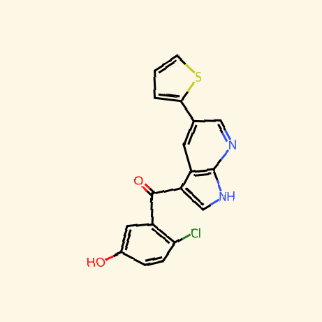 O=C(c1cc(O)ccc1Cl)c1c[nH]c2ncc(-c3cccs3)cc12